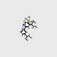 CCC(CC)c1cccc(-c2cc(C(CC)CC)c(S(C)(C)C)cn2)c1